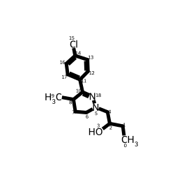 CCC(O)CN1CCC(C)C(c2ccc(Cl)cc2)=N1